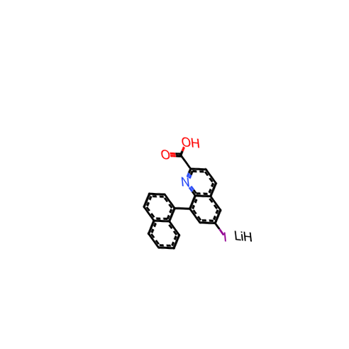 O=C(O)c1ccc2cc(I)cc(-c3cccc4ccccc34)c2n1.[LiH]